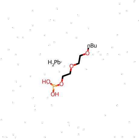 CCCCOCCOCCOP(O)O.[PbH2]